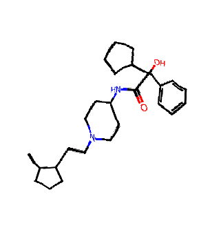 CC1CCCC1CCN1CCC(NC(=O)C(O)(c2ccccc2)C2CCCC2)CC1